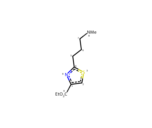 CCOC(=O)c1csc(CCCNC)n1